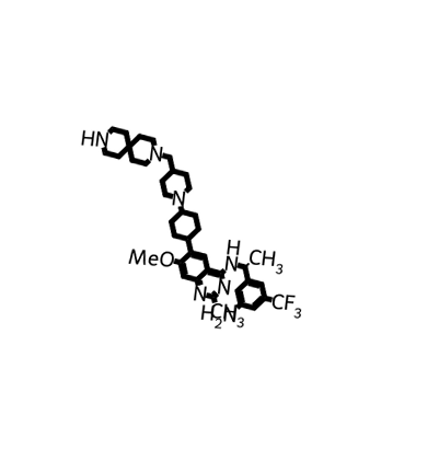 COc1cc2nc(C)nc(N[C@H](C)c3cc(N)cc(C(F)(F)F)c3)c2cc1C1CCC(N2CCC(CN3CCC4(CCNCC4)CC3)CC2)CC1